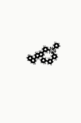 c1ccc(-c2cccc(-c3cccc(-c4nc(-c5ccccc5)nc(-c5cccc(-c6ccc7cc(-c8cccc9ccccc89)ccc7c6)c5)n4)c3)c2)cc1